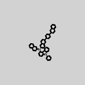 c1ccc(-n2c3ccccc3c3c(N(c4ccc5ccccc5c4)c4ccc5cc(-c6ccc(-c7ccc8ccccc8c7)cc6)ccc5c4)cccc32)cc1